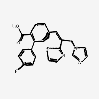 O=C(O)c1ccc(C=C(Cn2ccnc2)c2nccs2)cc1-c1ccc(F)cc1